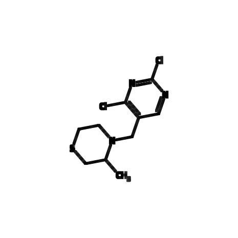 CC1CSCCN1Cc1cnc(Cl)nc1Cl